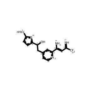 CCCCCCc1ccc(C(O)Cc2ccnc(/C(N)=C/C(=N)C(F)(F)F)c2)s1